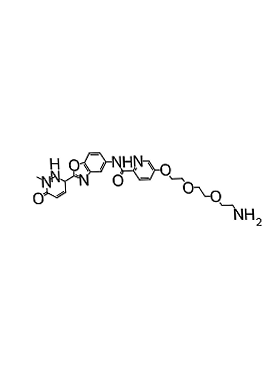 CN1NC(c2nc3cc(NC(=O)c4ccc(OCCOCCOCCN)cn4)ccc3o2)C=CC1=O